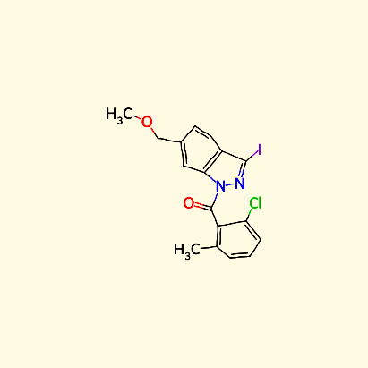 COCc1ccc2c(I)nn(C(=O)c3c(C)cccc3Cl)c2c1